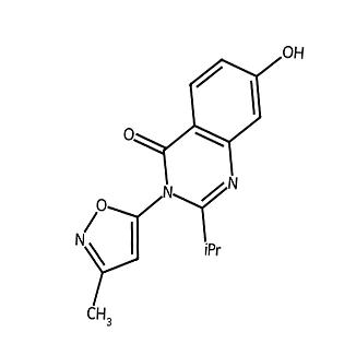 Cc1cc(-n2c(C(C)C)nc3cc(O)ccc3c2=O)on1